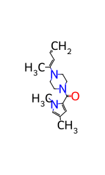 C=C/C=C(\C)N1CCN(C(=O)c2cc(C)cn2C)CC1